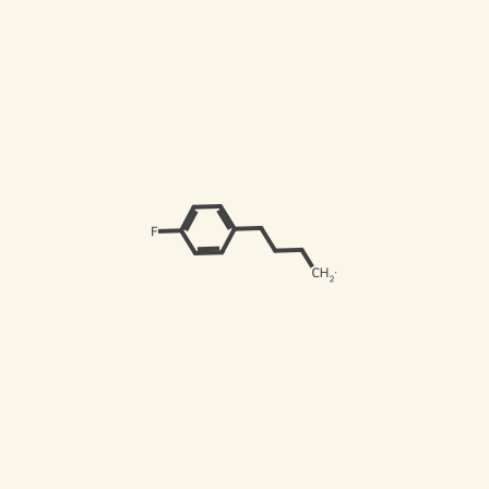 [CH2]CCCc1ccc(F)cc1